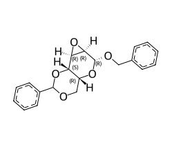 c1ccc(CO[C@@H]2O[C@@H]3COC(c4ccccc4)O[C@@H]3[C@H]3O[C@@H]23)cc1